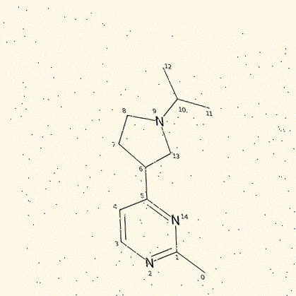 Cc1nccc(C2CCN(C(C)C)C2)n1